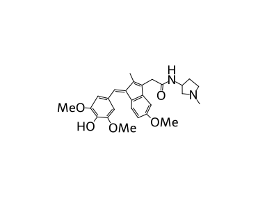 COc1ccc2c(c1)C(CC(=O)NC1CCN(C)C1)=C(C)/C2=C/c1cc(OC)c(O)c(OC)c1